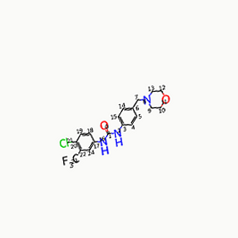 O=C(Nc1ccc(CN2CCOCC2)cc1)Nc1ccc(Cl)c(C(F)(F)F)c1